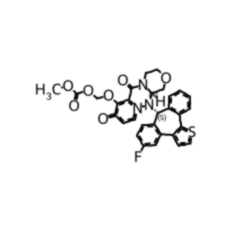 COC(=O)OCOc1c2n(ccc1=O)N([C@H]1c3ccc(F)cc3-c3ccsc3-c3ccccc31)[C@@H]1COCCN1C2=O